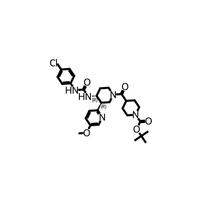 COc1ccc([C@@H]2CN(C(=O)C3CCN(C(=O)OC(C)(C)C)CC3)CC[C@H]2NC(=O)Nc2ccc(Cl)cc2)nc1